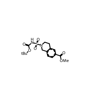 COC(=O)c1ccc2c(c1)CCN(S(=O)(=O)NC(=O)OC(C)(C)C)C2